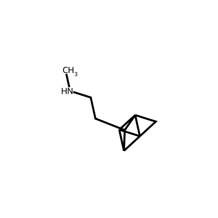 CNCCC1C2C3C14CC234